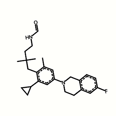 Cc1cc(N2CCc3cc(F)ccc3C2)cc(C2CC2)c1CC(C)(C)CCNC=O